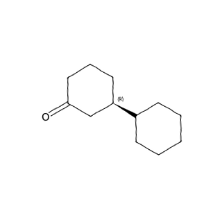 O=C1CCC[C@@H](C2CCCCC2)C1